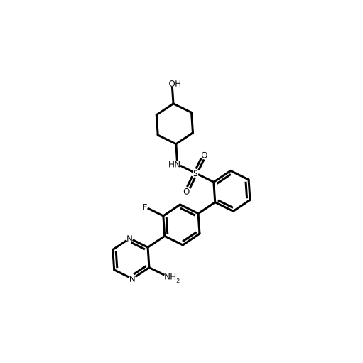 Nc1nccnc1-c1ccc(-c2ccccc2S(=O)(=O)NC2CCC(O)CC2)cc1F